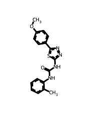 COc1ccc(-c2nnc(NC(=O)Nc3ccccc3C)s2)cc1